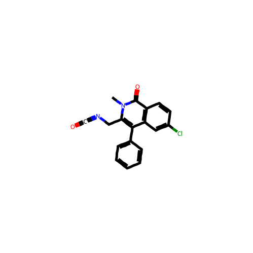 Cn1c(CN=C=O)c(-c2ccccc2)c2cc(Cl)ccc2c1=O